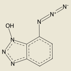 [N-]=[N+]=Nc1cccc2nnn(O)c12